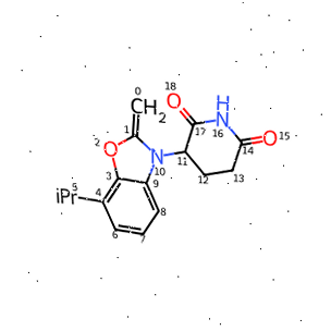 C=C1Oc2c(C(C)C)cccc2N1C1CCC(=O)NC1=O